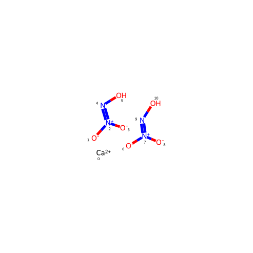 [Ca+2].[O-][N+]([O-])=NO.[O-][N+]([O-])=NO